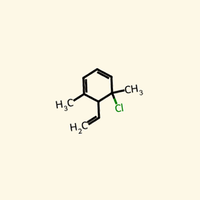 C=CC1C(C)=CC=CC1(C)Cl